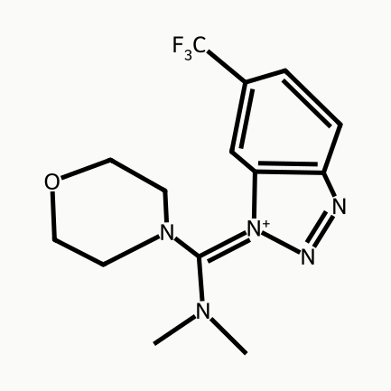 CN(C)C(N1CCOCC1)=[N+]1N=Nc2ccc(C(F)(F)F)cc21